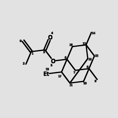 C=C(C)C(=O)OC12CC3(C)CC(CC(C)(C3)C1)C2CC